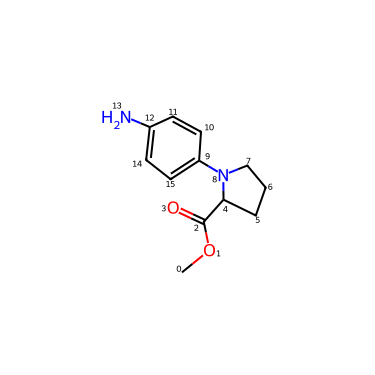 COC(=O)C1CCCN1c1ccc(N)cc1